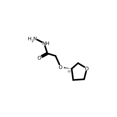 NNC(=O)CO[C@H]1CCOC1